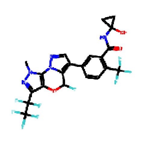 Cn1nc(C(F)(F)C(F)(F)F)c2c1-n1ncc(-c3ccc(C(F)(F)F)c(C(=O)NC4(O)CC4)c3)c1C(F)O2